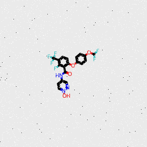 O=C(Nc1cc[n+](O)nc1)c1c(Oc2ccc(OC(F)F)cc2)ccc(C(F)(F)F)c1F